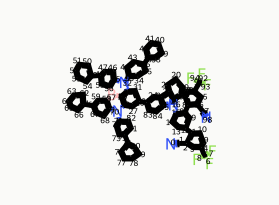 N#Cc1cc(C(F)(F)F)ccc1-c1ccc(-n2c3ccccc3c3cc(-c4cc5c6c(c4)N(c4ccc(-c7ccccc7)cc4)c4ccc(-c7ccccc7)cc4B6c4cc(-c6ccccc6)ccc4N5c4ccc(-c5ccccc5)cc4)ccc32)c(-c2ccc(C(F)(F)F)cc2C#N)c1